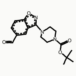 CC(C)(C)OC(=O)N1CCN(c2noc3ccc(C=O)cc23)CC1